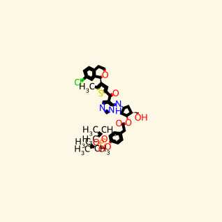 Cc1sc(C(=O)c2cncnc2N[C@@H]2C[C@H](CO)[C@@H](OC(=O)Cc3ccc(OP(=O)(OC(C)(C)C)OC(C)(C)C)cc3)C2)cc1[C@@H]1OCCc2ccc(Cl)cc21